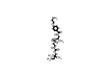 C[C@H](CNC(=O)c1ccc(OCCN)cc1)NS(=O)(=O)CCNC(=O)OCC(C)(C)CN